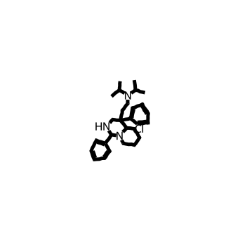 CC(C)N(CCC1(c2ccccc2Cl)CNC(c2ccccc2)N2CCCCC21)C(C)C